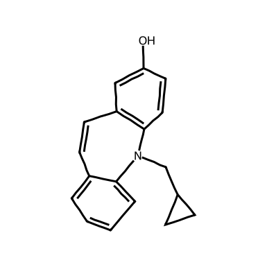 Oc1ccc2c(c1)C=Cc1ccccc1N2CC1CC1